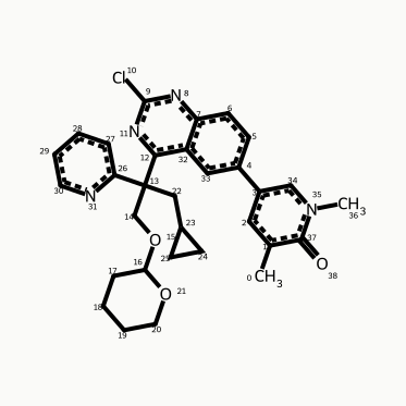 Cc1cc(-c2ccc3nc(Cl)nc(C(COC4CCCCO4)(CC4CC4)c4ccccn4)c3c2)cn(C)c1=O